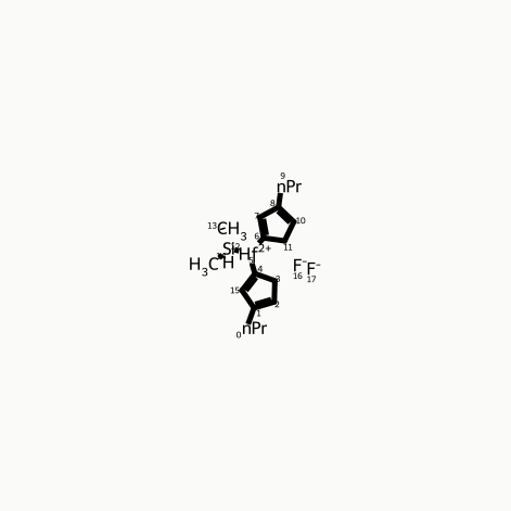 CCCC1=CC[C]([Hf+2]([C]2=CC(CCC)=CC2)[SiH](C)C)=C1.[F-].[F-]